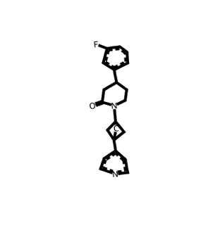 O=C1CC(c2cccc(F)c2)CCN1C12CC(c3ccncc3)(C1)C2